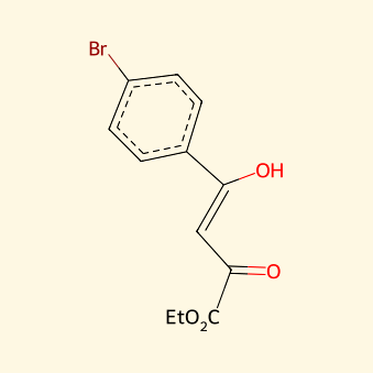 CCOC(=O)C(=O)C=C(O)c1ccc(Br)cc1